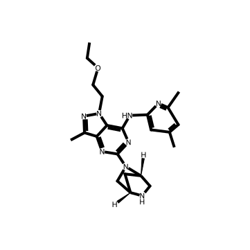 CCOCCn1nc(C)c2nc(N3C[C@@H]4C[C@H]3CN4)nc(Nc3cc(C)cc(C)n3)c21